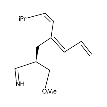 C=C/C=C(\C=C/C(C)C)C[C@H](C=N)COC